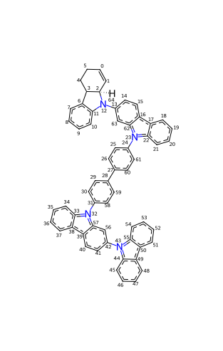 C1=C[C@@H]2C(CC1)c1ccccc1N2c1ccc2c3ccccc3n(-c3ccc(-c4ccc(-n5c6ccccc6c6ccc(-n7c8ccccc8c8ccccc87)cc65)cc4)cc3)c2c1